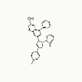 Cc1ccc(C2=CC(c3cc(-c4ccccc4)c4cc(O)ccc4c3)C(c3ccccc3C)C2)cc1